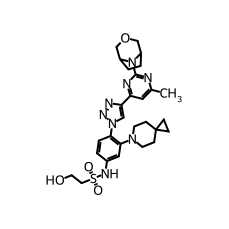 Cc1cc(-c2cn(-c3ccc(NS(=O)(=O)CCO)cc3N3CCC4(CC3)CC4)nn2)nc(N2C3CCC2COC3)n1